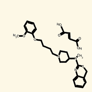 COc1ccccc1OCCCCN1CCC(N(C)C2=Nc3ccccc3CS2)CC1.O=C(O)/C=C/C(=O)O